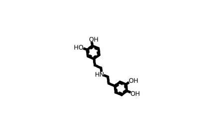 Oc1ccc(CCNCCc2ccc(O)c(O)c2)cc1O